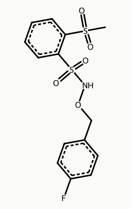 CS(=O)(=O)c1ccccc1S(=O)(=O)NOCc1ccc(F)cc1